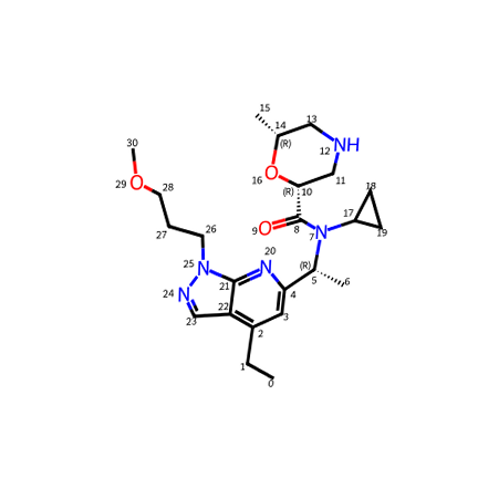 CCc1cc([C@@H](C)N(C(=O)[C@H]2CNC[C@@H](C)O2)C2CC2)nc2c1cnn2CCCOC